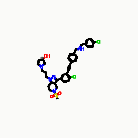 CS(=O)(=O)N1CCc2c(c(-c3ccc(Cl)c(C#Cc4ccc(CNCc5ccc(Cl)cc5)cc4)c3)nn2CCCN2CC[C@@H](O)C2)C1